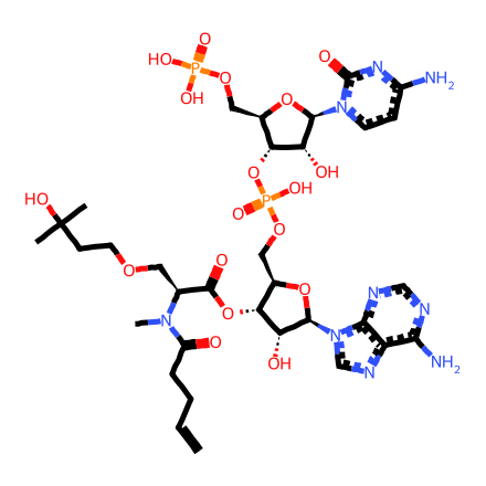 C=CCCC(=O)N(C)[C@@H](COCCC(C)(C)O)C(=O)O[C@H]1[C@@H](O)[C@H](n2cnc3c(N)ncnc32)O[C@@H]1COP(=O)(O)O[C@H]1[C@@H](O)[C@H](n2ccc(N)nc2=O)O[C@@H]1COP(=O)(O)O